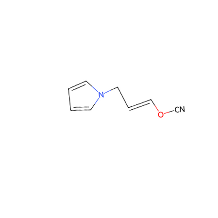 N#COC=CCn1cccc1